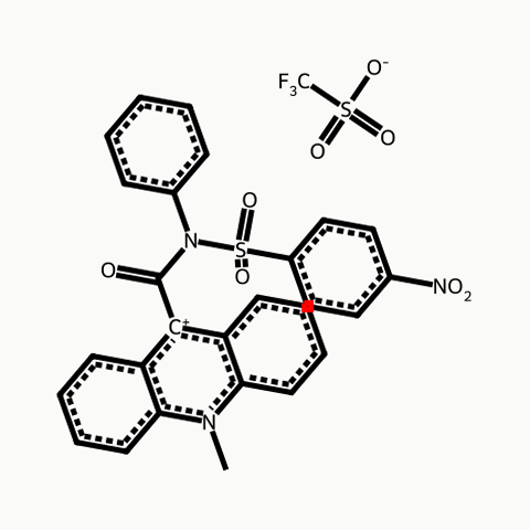 Cn1c2ccccc2[c+](C(=O)N(c2ccccc2)S(=O)(=O)c2ccc([N+](=O)[O-])cc2)c2ccccc21.O=S(=O)([O-])C(F)(F)F